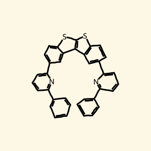 c1ccc(-c2cccc(-c3ccc4sc5sc6ccc(-c7cccc(-c8ccccc8)n7)cc6c5c4c3)n2)cc1